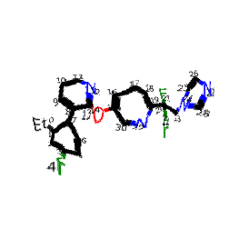 CCc1cc(F)ccc1-c1cccnc1OC1=CCC=C(C(F)(F)Cn2ccnc2)N=C1